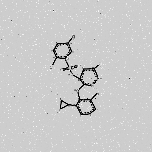 Cc1cccc(C2CC2)c1Oc1nnc(Cl)cc1OS(=O)(=O)c1cc(Cl)ccc1Cl